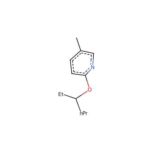 CCCC(CC)Oc1ccc(C)cn1